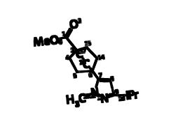 COC(=O)C12CCC(c3cc(C(C)C)nn3C)(CC1)CC2